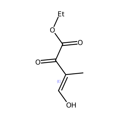 CCOC(=O)C(=O)/C(C)=C/O